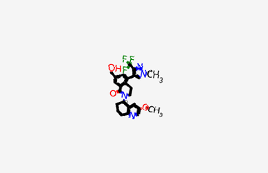 COc1cnc2c(c1)[C@@H](N1CCc3c(cc(CO)cc3-c3cn(C)nc3C(F)(F)F)C1=O)CCC2